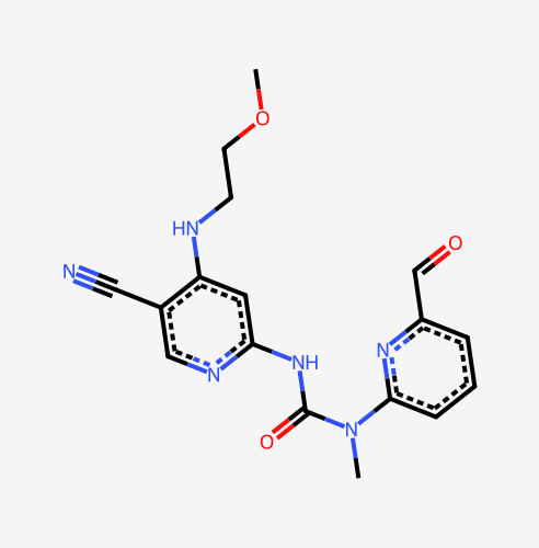 COCCNc1cc(NC(=O)N(C)c2cccc(C=O)n2)ncc1C#N